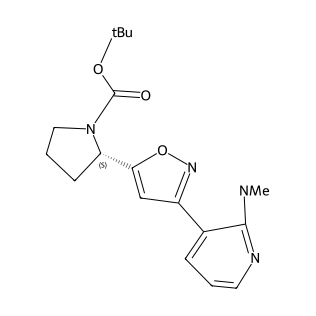 CNc1ncccc1-c1cc([C@@H]2CCCN2C(=O)OC(C)(C)C)on1